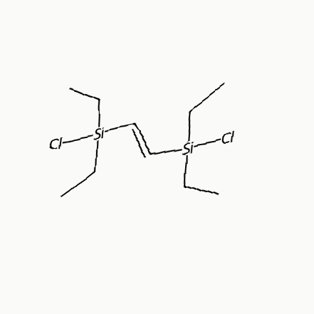 CC[Si](Cl)(/C=C/[Si](Cl)(CC)CC)CC